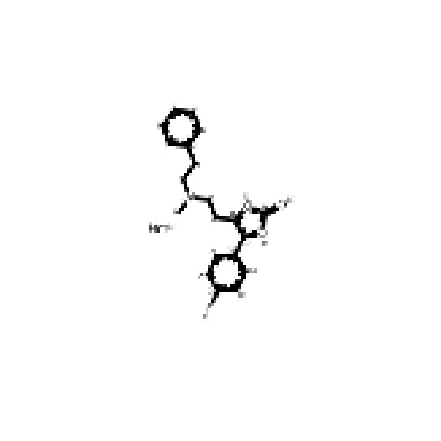 CN(CCc1ccccc1)CCc1oc(=O)oc1-c1ccc(F)cc1.Cl